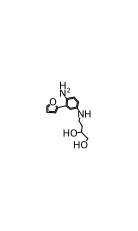 Nc1ccc(NCCC(O)CO)cc1-c1ccco1